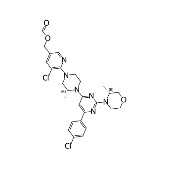 C[C@@H]1CN(c2ncc(COC=O)cc2Cl)CCN1c1cc(-c2ccc(Cl)cc2)nc(N2CCOC[C@H]2C)n1